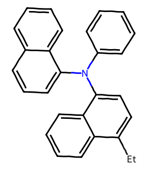 CCc1ccc(N(c2ccccc2)c2cccc3ccccc23)c2ccccc12